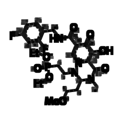 CCOP(=O)(CCN1C(CCOC)N(C)C(=O)c2c(O)c(=O)c(C(=O)NCc3ccc(F)cc3F)cn21)OCC